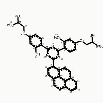 CCCCC(CC)COc1ccc(-c2nc(-c3ccc(OCC(CC)CCCC)cc3O)nc(-c3ccc4ccc5cccc6ccc3c4c56)n2)c(O)c1